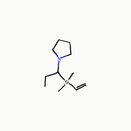 C=C[Si](C)(C)C(CC)N1CCCC1